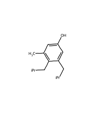 Cc1cc(O)cc(CC(C)C)c1CC(C)C